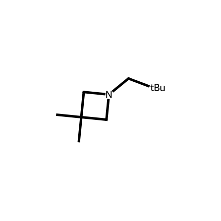 CC(C)(C)CN1CC(C)(C)C1